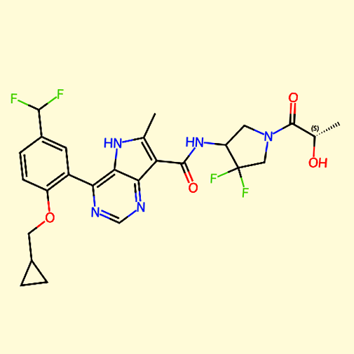 Cc1[nH]c2c(-c3cc(C(F)F)ccc3OCC3CC3)ncnc2c1C(=O)NC1CN(C(=O)[C@H](C)O)CC1(F)F